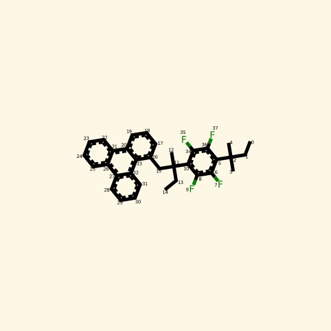 CCC(C)(C)c1c(F)c(F)c(C(C)(CC)Cc2cccc3c4ccccc4c4ccccc4c23)c(F)c1F